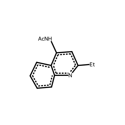 CCc1cc(NC(C)=O)c2ccccc2n1